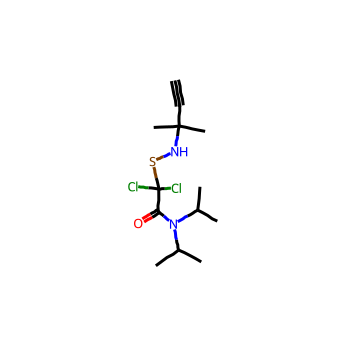 C#CC(C)(C)NSC(Cl)(Cl)C(=O)N(C(C)C)C(C)C